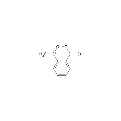 CCC(O)c1ccccc1[S+](C)[O-]